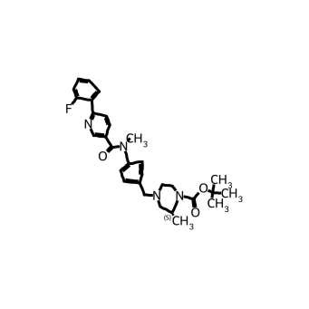 C[C@H]1CN(Cc2ccc(N(C)C(=O)c3ccc(-c4ccccc4F)nc3)cc2)CCN1C(=O)OC(C)(C)C